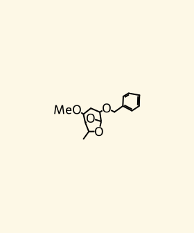 COC1CC(OCc2ccccc2)C2OC(C)C1O2